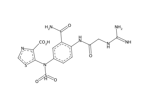 N=C(N)NCC(=O)Nc1ccc(N(c2scnc2C(=O)O)[SH](=O)=O)cc1C(N)=O